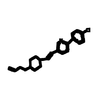 C=CCCC1CCC(C#Cc2ccc(-c3ccc(Cl)cc3)nc2)CC1